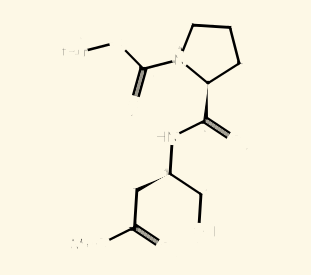 COC(=O)C[C@H](CO)NC(=O)[C@@H]1CCCN1C(=O)OC(C)(C)C